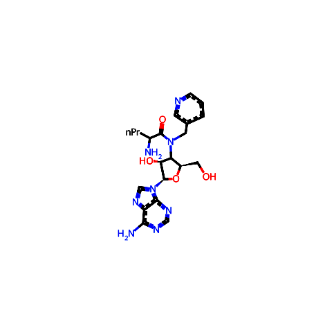 CCCC(N)C(=O)N(Cc1cccnc1)C1[C@@H](CO)O[C@@H](n2cnc3c(N)ncnc32)[C@H]1O